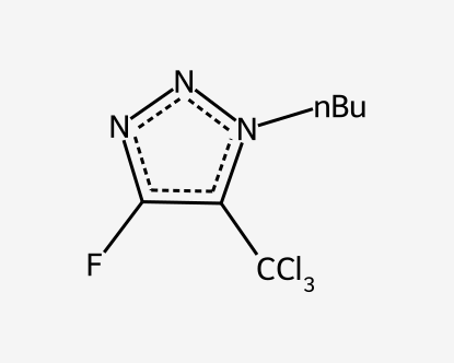 CCCCn1nnc(F)c1C(Cl)(Cl)Cl